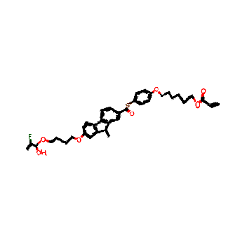 C=CC(=O)OCCCCCCOc1ccc(SC(=O)c2ccc3c(c2)C(C)c2cc(OCCCCOC(O)C(=C)F)ccc2-3)cc1